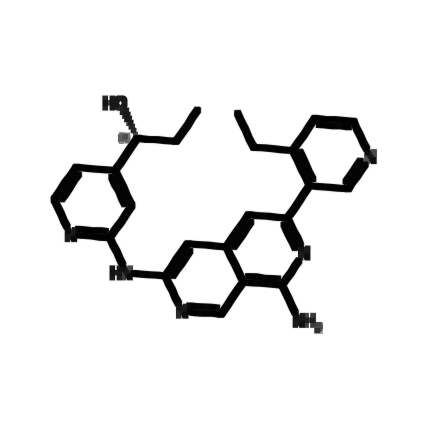 CCc1ccncc1-c1cc2cc(Nc3cc([C@H](O)CC)ccn3)ncc2c(N)n1